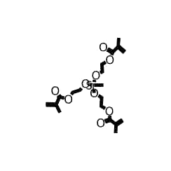 C=C(C)C(=O)OCCO[Si](C)(OCCOC(=O)C(=C)C)OCCOC(=O)C(=C)C